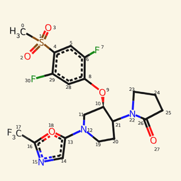 CS(=O)(=O)c1cc(F)c(O[C@@H]2CN(c3cnc(C(F)(F)F)o3)CCC2N2CCCC2=O)cc1F